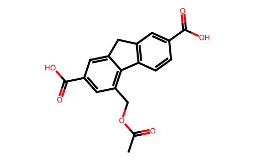 CC(=O)OCc1cc(C(=O)O)cc2c1-c1ccc(C(=O)O)cc1C2